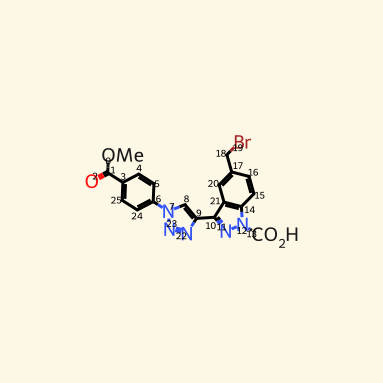 COC(=O)c1ccc(-n2cc(-c3nn(C(=O)O)c4ccc(CBr)cc34)nn2)cc1